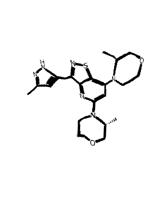 Cc1cc(-c2nsc3c(N4CCOC[C@@H]4C)cc(N4CCOC[C@H]4C)nc23)[nH]n1